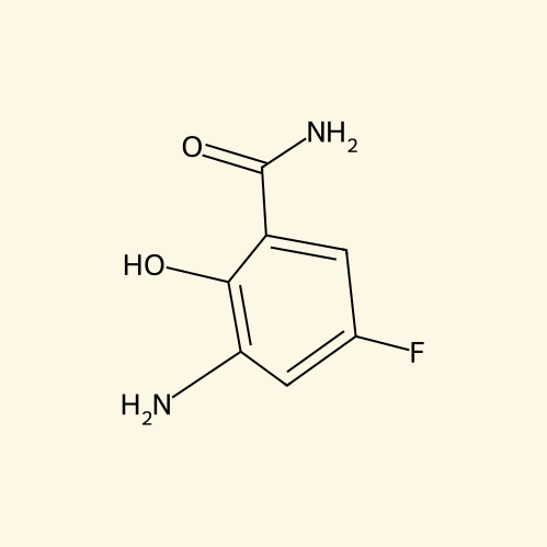 NC(=O)c1cc(F)cc(N)c1O